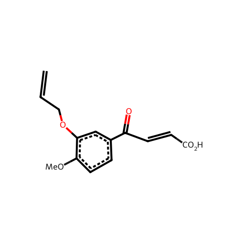 C=CCOc1cc(C(=O)/C=C/C(=O)O)ccc1OC